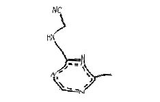 Cc1n[c]nc(NCC#N)n1